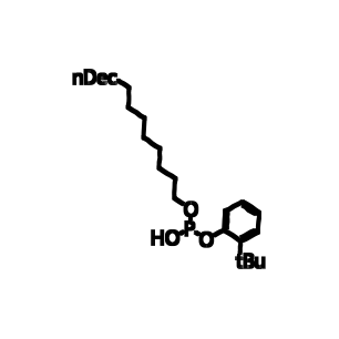 CCCCCCCCCCCCCCCCCCOP(O)Oc1ccccc1C(C)(C)C